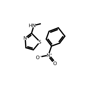 CNc1nccs1.O=[N+]([O-])c1ccccc1